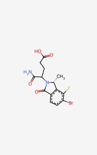 C[C@@H]1c2c(ccc(Br)c2F)C(=O)N1C(CCC(=O)O)C(N)=O